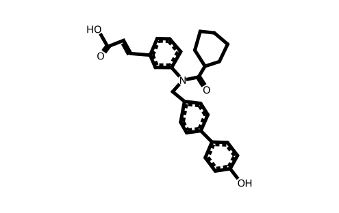 O=C(O)C=Cc1cccc(N(Cc2ccc(-c3ccc(O)cc3)cc2)C(=O)C2CCCCC2)c1